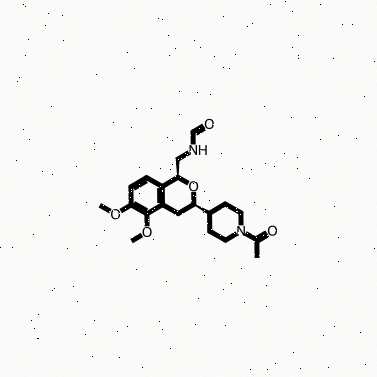 COc1ccc2c(c1OC)C[C@H](C1CCN(C(C)=O)CC1)O[C@@H]2CNC=O